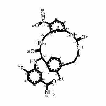 CCc1cc2ccc1CCOC(=O)Nc1ccc([SH](=O)=O)c(c1)CNC(=O)C2Nc1cc(C(N)=O)ccc1F